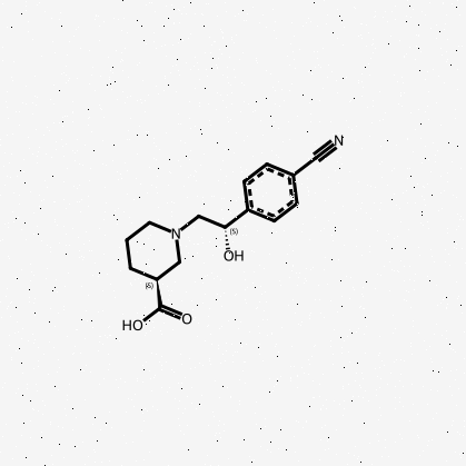 N#Cc1ccc([C@H](O)CN2CCC[C@H](C(=O)O)C2)cc1